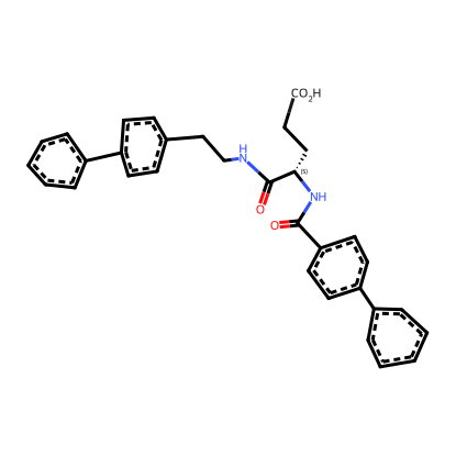 O=C(O)CC[C@H](NC(=O)c1ccc(-c2ccccc2)cc1)C(=O)NCCc1ccc(-c2ccccc2)cc1